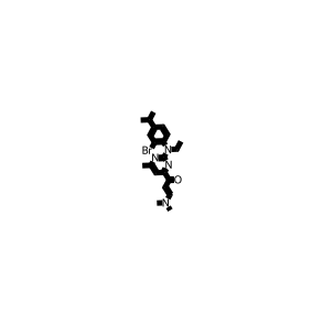 CCN(c1nc(C)cc(C(=O)C=CN(C)C)n1)c1ccc(C(C)C)cc1Br